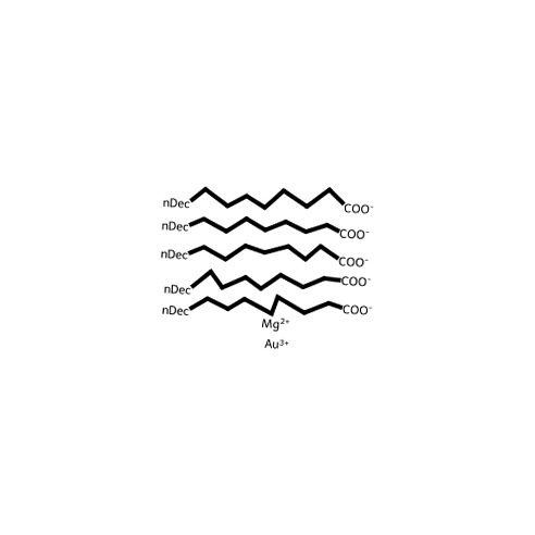 CCCCCCCCCCCCCCCCCC(=O)[O-].CCCCCCCCCCCCCCCCCC(=O)[O-].CCCCCCCCCCCCCCCCCC(=O)[O-].CCCCCCCCCCCCCCCCCC(=O)[O-].CCCCCCCCCCCCCCCCCC(=O)[O-].[Au+3].[Mg+2]